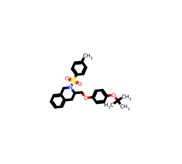 Cc1ccc(S(=O)(=O)N2Cc3ccccc3CC2COc2ccc(OC(C)(C)C)cc2)cc1